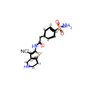 N#Cc1c(NC(=O)Cc2ccc(S(N)(=O)=O)cc2)sc2c1CNCC2